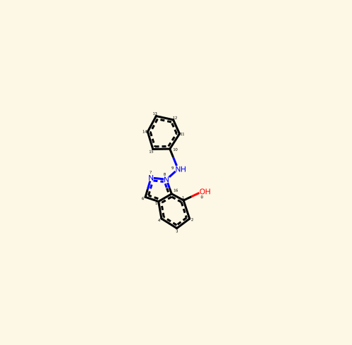 Oc1cccc2cnn(Nc3ccccc3)c12